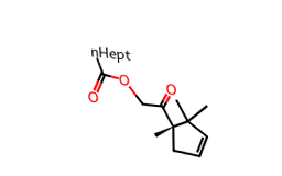 CCCCCCCC(=O)OCC(=O)[C@@]1(C)CC=CC1(C)C